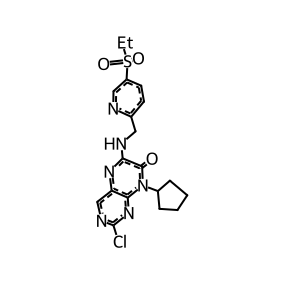 CCS(=O)(=O)c1ccc(CNc2nc3cnc(Cl)nc3n(C3CCCC3)c2=O)nc1